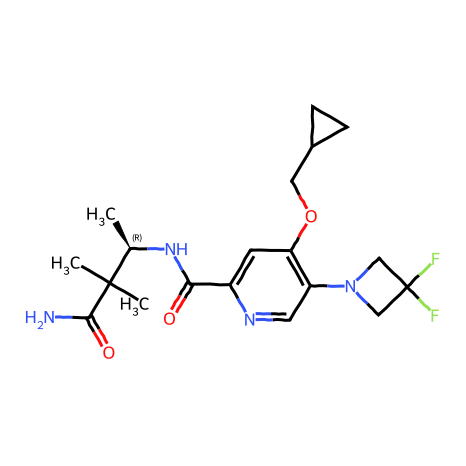 C[C@@H](NC(=O)c1cc(OCC2CC2)c(N2CC(F)(F)C2)cn1)C(C)(C)C(N)=O